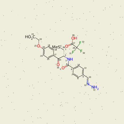 CSC[C@H](NC(=O)c1ccc(C=NN)cc1)C(=O)c1ccc(OCC(=O)O)cc1.O=C(O)C(F)(F)F